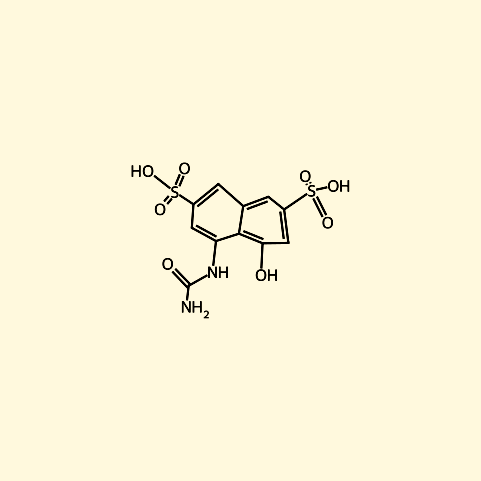 NC(=O)Nc1cc(S(=O)(=O)O)cc2cc(S(=O)(=O)O)cc(O)c12